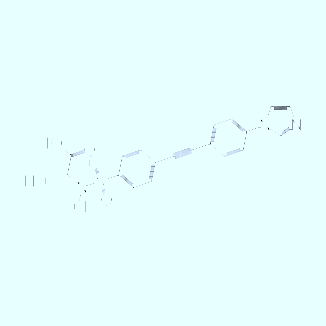 C[C@H](C(=O)O)N(C)S(=O)(=O)c1ccc(C#Cc2ccc(-n3ccnc3)cc2)cc1